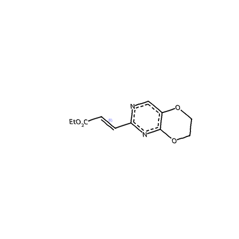 CCOC(=O)/C=C/c1ncc2c(n1)OCCO2